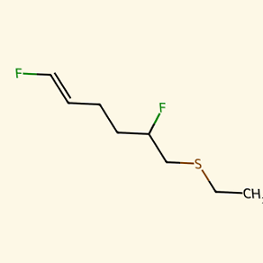 [CH2]CSCC(F)CCC=CF